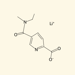 CCN(C)C(=O)c1ccc(C(=O)[O-])nc1.[Li+]